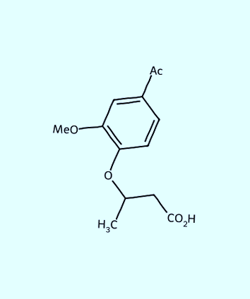 COc1cc(C(C)=O)ccc1OC(C)CC(=O)O